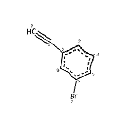 C#Cc1c[c]cc(Br)c1